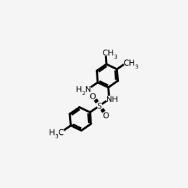 Cc1ccc(S(=O)(=O)Nc2cc(C)c(C)cc2N)cc1